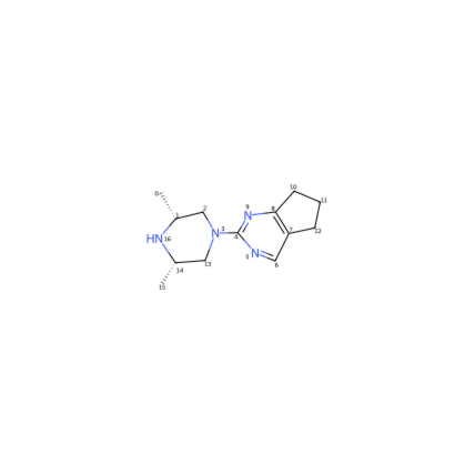 C[C@@H]1CN(c2ncc3c(n2)CCC3)C[C@H](C)N1